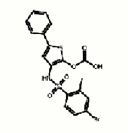 Cc1cc(Br)ccc1S(=O)(=O)Nc1cc(-c2ccccc2)sc1OC(=O)O